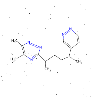 Cc1nnc(C(C)CCC(C)c2ccnnc2)nc1C